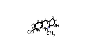 C/N=C1\NCCN1Cc1ccc(Cl)nc1